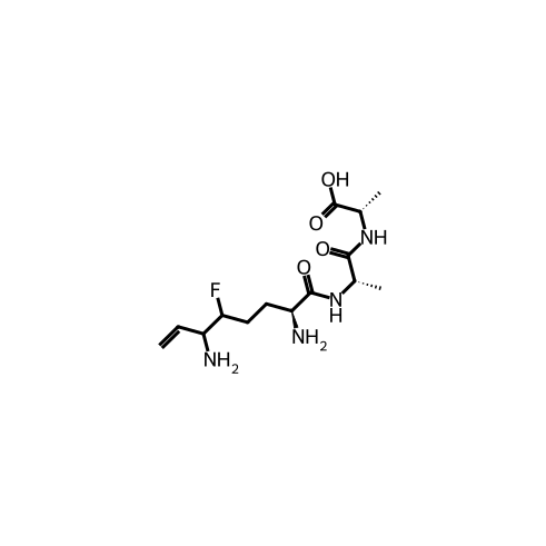 C=CC(N)C(F)CC[C@H](N)C(=O)N[C@@H](C)C(=O)N[C@@H](C)C(=O)O